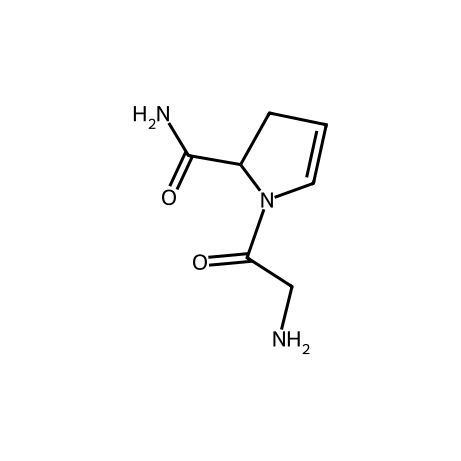 NCC(=O)N1C=CCC1C(N)=O